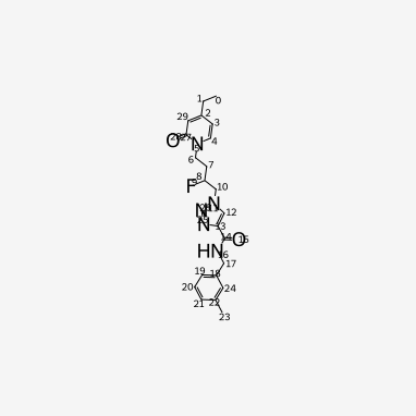 CCc1ccn(CCC(F)Cn2cc(C(=O)NCc3cccc(C)c3)nn2)c(=O)c1